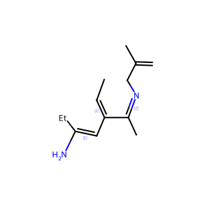 C=C(C)C\N=C(C)/C(=C\C)/C=C(/N)CC